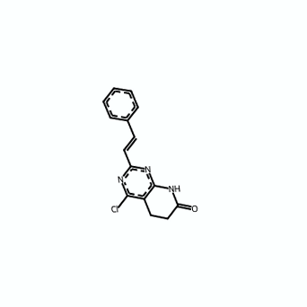 O=C1CCc2c(Cl)nc(C=Cc3ccccc3)nc2N1